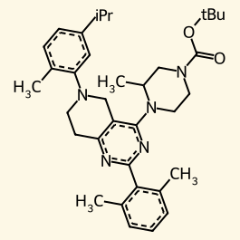 Cc1ccc(C(C)C)cc1N1CCc2nc(-c3c(C)cccc3C)nc(N3CCN(C(=O)OC(C)(C)C)CC3C)c2C1